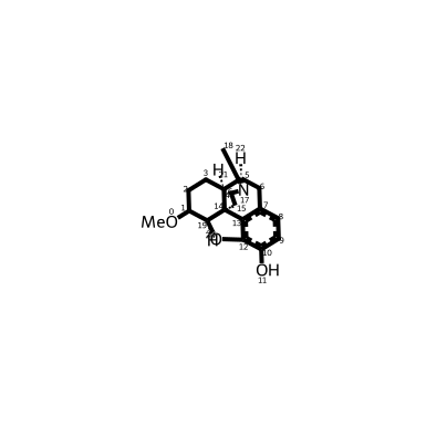 COC1CC[C@H]2[C@H]3Cc4ccc(O)c5c4[C@@]2(CCN3C)[C@H]1O5